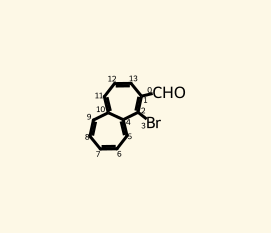 O=CC1=C(Br)C2=CC=CC=CC2=CC=C1